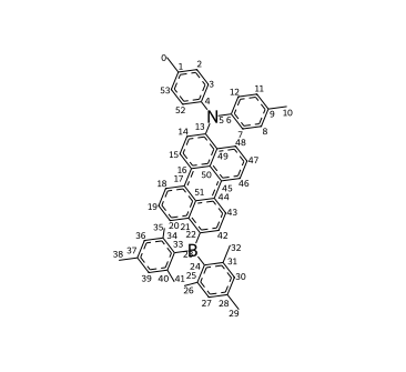 Cc1ccc(N(c2ccc(C)cc2)c2ccc3c4cccc5c(B(c6c(C)cc(C)cc6C)c6c(C)cc(C)cc6C)ccc(c6cccc2c63)c54)cc1